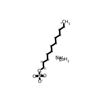 CCCCCCCCCCCCOS(=O)(=O)[O-].[Na+].[PbH2]